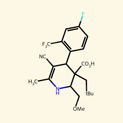 COCC1NC(C)=C(C#N)C(c2ccc(F)cc2C(F)(F)F)C1(CC(C)(C)C)C(=O)O